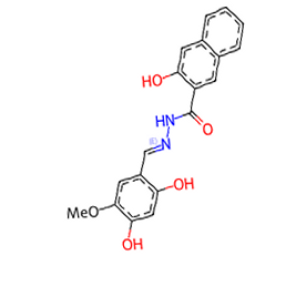 COc1cc(/C=N/NC(=O)c2cc3ccccc3cc2O)c(O)cc1O